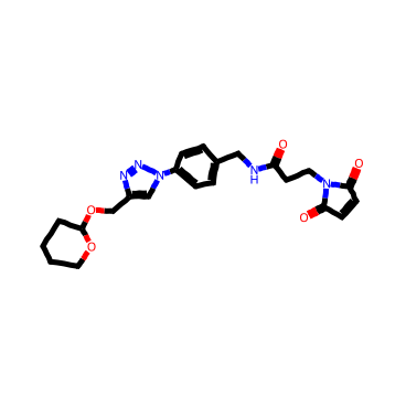 O=C(CCN1C(=O)C=CC1=O)NCc1ccc(-n2cc(COC3CCCCO3)nn2)cc1